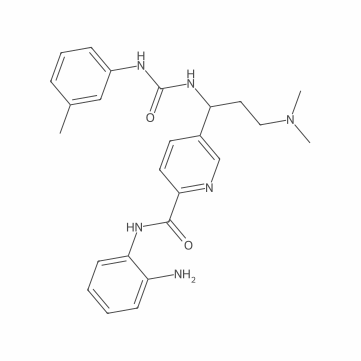 Cc1cccc(NC(=O)NC(CCN(C)C)c2ccc(C(=O)Nc3ccccc3N)nc2)c1